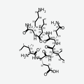 CC[C@H](C)[C@H](N)C(=O)N[C@@H](CCC(=O)O)C(=O)N[C@H](C(=O)N[C@@H](CCC(N)=O)C(=O)N[C@H](C(=O)N[C@@H](CCCCN)C(N)=O)[C@@H](C)CC)[C@@H](C)CC